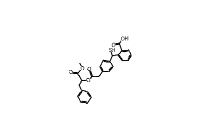 COC(=O)C(Cc1ccccc1)OC(=O)Cc1ccc(C(S)c2ccccc2C(=O)O)cc1